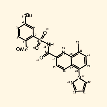 COc1ccc(C(C)(C)C)cc1S(=O)(=O)NC(=O)c1ccc2c(-n3cccn3)ccc(C)c2n1